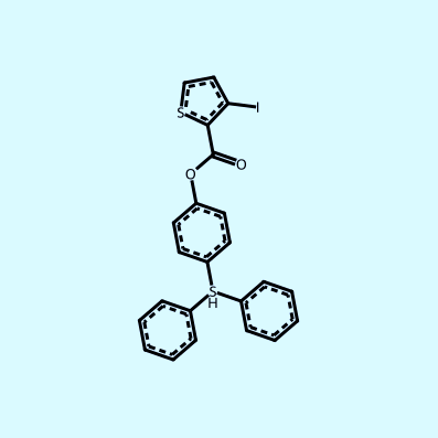 O=C(Oc1ccc([SH](c2ccccc2)c2ccccc2)cc1)c1sccc1I